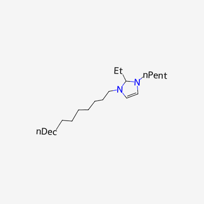 CCCCCCCCCCCCCCCCCN1C=CN(CCCCC)C1CC